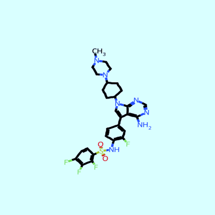 CN1CCN(C2CCC(n3cc(-c4ccc(NS(=O)(=O)c5ccc(F)c(F)c5F)c(F)c4)c4c(N)ncnc43)CC2)CC1